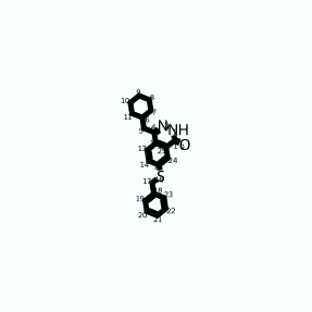 O=c1[nH]nc(CC2CCCCC2)c2ccc(SCc3ccccc3)cc12